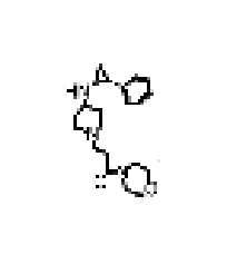 C[C@@H]1CN(C(=O)CCN2CCC(N[C@@H]3C[C@H]3c3ccccc3)CC2)C[C@H](C)O1